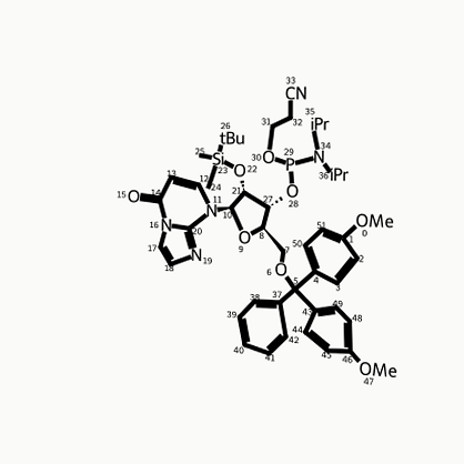 COc1ccc(C(OC[C@H]2O[C@@H](n3ccc(=O)n4ccnc34)[C@H](O[Si](C)(C)C(C)(C)C)[C@@H]2OP(OCCC#N)N(C(C)C)C(C)C)(c2ccccc2)c2ccc(OC)cc2)cc1